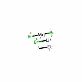 C[CH]C.[Br][Mg][Br].[Li][Br]